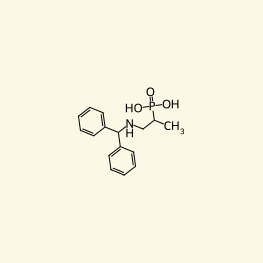 CC(CNC(c1ccccc1)c1ccccc1)P(=O)(O)O